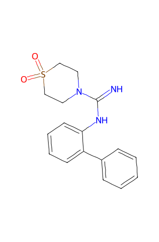 N=C(Nc1ccccc1-c1ccccc1)N1CCS(=O)(=O)CC1